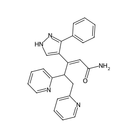 NC(=O)C=C(c1c[nH]nc1-c1ccccc1)C(Cc1ccccn1)c1ccccn1